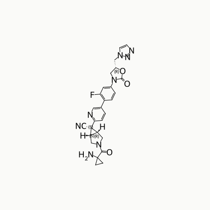 N#C[C@]1(c2ccc(-c3ccc(N4C[C@H](Cn5ccnn5)OC4=O)cc3F)cn2)[C@@H]2CN(C(=O)C3(N)CC3)C[C@@H]21